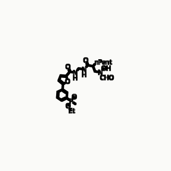 CCCCCC(CN(O)C=O)C(=O)NCNC(=O)c1ccc(-c2cccc(P(C)(=O)OCC)c2)o1